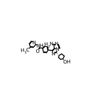 Cc1ccnc(NC(=O)c2ccc(-c3nc([C@H]4CC[C@H](O)CC4)n4ccnc(N)c34)cc2)c1